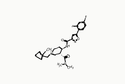 CN(C)C(=O)[C@@H]1CN(CC2(C)CCC2)CC[C@H]1NC(=O)c1cc(-c2ccc(F)cc2F)on1